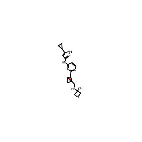 CC1(NCC23CC(C2)N(c2nccc(Nc4cc(C5CC5)[nH]n4)n2)C3)COC1